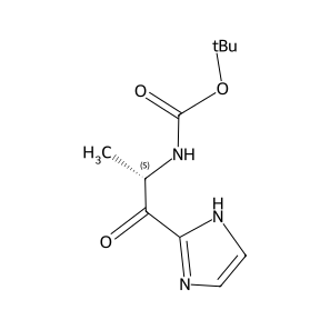 C[C@H](NC(=O)OC(C)(C)C)C(=O)c1ncc[nH]1